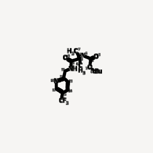 CC(C)(C)OC(=O)NC(C)(C)C(=O)NCc1ccc(C(F)(F)F)cn1